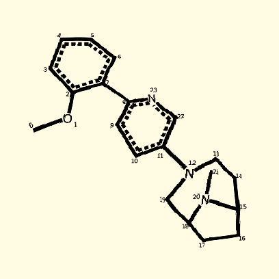 COc1ccccc1-c1ccc(N2CCC3CCC(C2)N3C)cn1